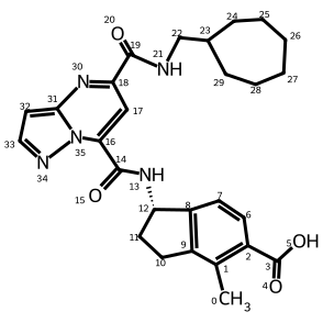 Cc1c(C(=O)O)ccc2c1CC[C@@H]2NC(=O)c1cc(C(=O)NCC2CCCCCC2)nc2ccnn12